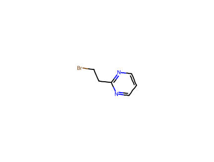 BrCCc1ncccn1